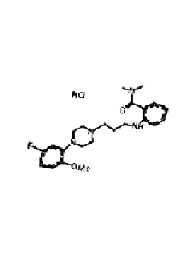 COc1ccc(F)cc1N1CCN(CCCNc2ccccc2C(=O)N(C)C)CC1.Cl